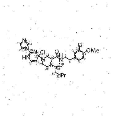 COc1ccc(CCNC(=O)C2CN(C3(Cl)C=CNC(n4ccnc4)=N3)CCN2C(=O)CC(C)C)cc1Cl